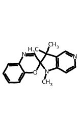 CN1c2ccncc2C(C)(C)C12C=Nc1ccccc1O2